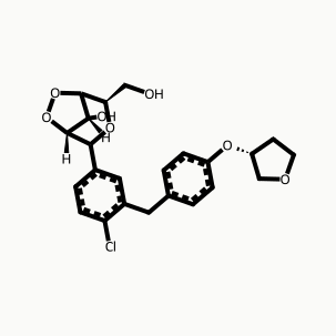 OC[C@H]1OC(c2ccc(Cl)c(Cc3ccc(O[C@@H]4CCOC4)cc3)c2)[C@@H]2OOC1[C@@H]2O